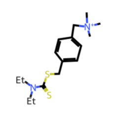 CCN(CC)C(=S)SCc1ccc(C[N+](C)(C)C)cc1